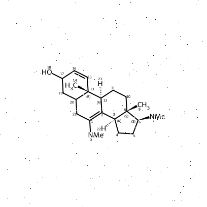 CNC1=C2[C@@H]3CC[C@H](NC)[C@@]3(C)CC[C@@H]2[C@@]2(C)C=CC(O)CC2C1